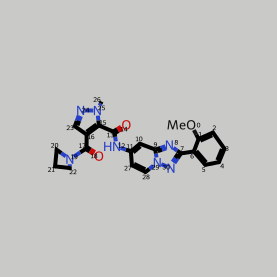 COc1ccccc1-c1nc2cc(NC(=O)c3c(C(=O)N4CCC4)cnn3C)ccn2n1